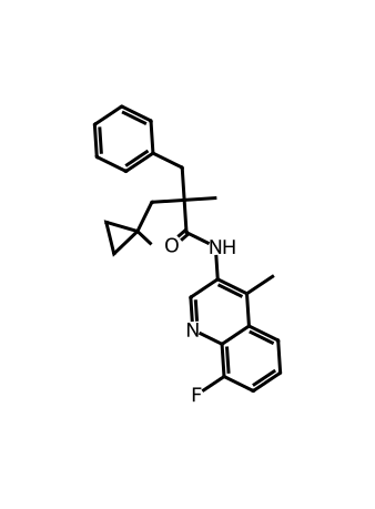 Cc1c(NC(=O)C(C)(Cc2ccccc2)CC2(C)CC2)cnc2c(F)cccc12